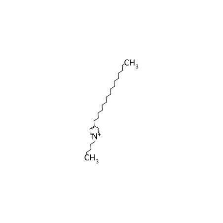 CCCCCCCCCCCCCCCCc1cc[n+](CCCCC)cc1